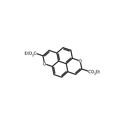 CCOC(=O)C1=Cc2ccc3c4c(ccc(c24)O1)C=C(C(=O)OCC)O3